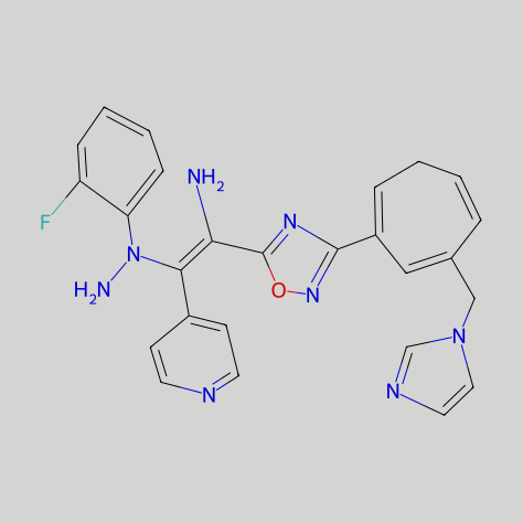 N/C(=C(/c1ccncc1)N(N)c1ccccc1F)c1nc(C2=CCC=CC(Cn3ccnc3)=C2)no1